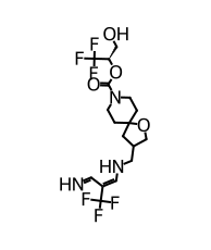 N=C/C(=C\NCC1COC2(CCN(C(=O)O[C@H](CO)C(F)(F)F)CC2)C1)C(F)(F)F